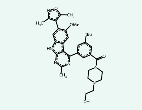 COc1cc2c(cc1-c1c(C)noc1C)[nH]c1nc(C)nc(-c3cc(C(=O)N4CCN(CCO)CC4)cc(C(C)(C)C)c3)c12